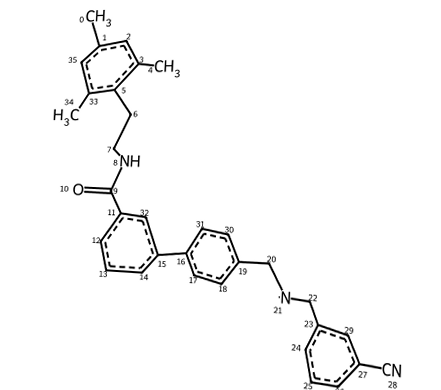 Cc1cc(C)c(CCNC(=O)c2cccc(-c3ccc(C[N]Cc4cccc(C#N)c4)cc3)c2)c(C)c1